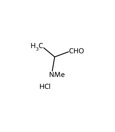 CNC(C)C=O.Cl